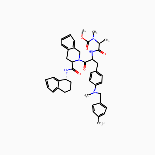 CC(C(=O)NC(Cc1ccc(N(C)Cc2ccc(C(=O)O)cc2)cc1)C(=O)N1Cc2ccccc2CC1C(=O)N[C@@H]1CCCc2ccccc21)N(C)C(=O)OC(C)(C)C